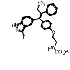 O=C(O)NCCOc1ccc(/C(=C(/CC(F)(F)F)c2ccccc2)c2ccc3[nH]nc(F)c3c2)cc1